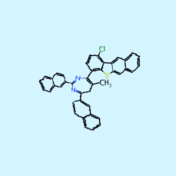 CC1=C(c2ccc(Cl)c3c2sc2cc4ccccc4cc23)N=C(c2ccc3ccccc3c2)N=C(c2ccc3ccccc3c2)C1